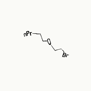 CCCCCOCCBr